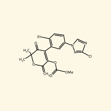 C=C1OC(C)(C)C(=O)C(c2cc(-n3cnc(Cl)n3)ccc2CC)=C1OC(=O)OC